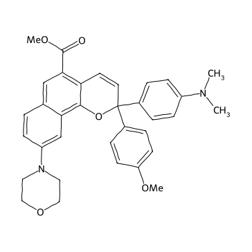 COC(=O)c1cc2ccc(N3CCOCC3)cc2c2c1C=CC(c1ccc(OC)cc1)(c1ccc(N(C)C)cc1)O2